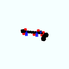 CN(CC(=O)NCC(=O)CCCCCNC(=O)C(=O)C(C)(C)C)C(=O)OC1c2ccccc2-c2ccccc21